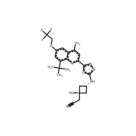 Cc1cc(-c2nnc(N[C@H]3C[C@@](O)(CC#N)C3)o2)nc2c(C(C)(C)C)cc(OCC(F)(F)F)cc12